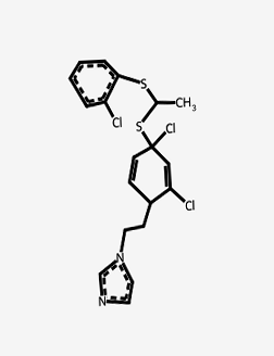 CC(Sc1ccccc1Cl)SC1(Cl)C=CC(CCn2ccnc2)C(Cl)=C1